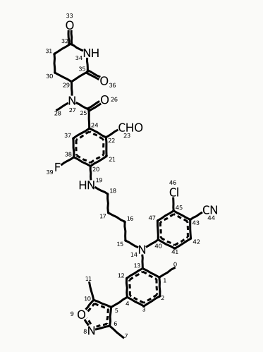 Cc1ccc(-c2c(C)noc2C)cc1N(CCCCNc1cc(C=O)c(C(=O)N(C)C2CCC(=O)NC2=O)cc1F)c1ccc(C#N)c(Cl)c1